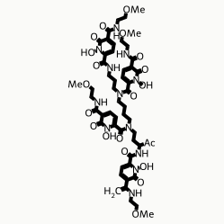 C=C(NCCOC)c1ccc(C(=O)NC(CCN(CCCCN(CCCNC(=O)c2ccc(C(=O)NCCOC)c(=O)n2O)C(=O)c2ccc(C(=O)NCCOC)c(=O)n2O)C(=O)c2ccc(C(=O)NCCOC)c(=O)n2O)C(C)=O)n(O)c1=O